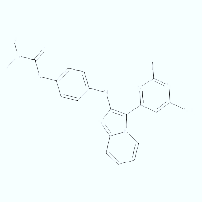 CCCN(C)C(=O)Nc1ccc(Nc2nc3ccccn3c2-c2cc(N)nc(C)n2)cc1